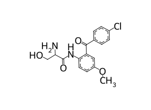 COc1ccc(NC(=O)C(N)CO)c(C(=O)c2ccc(Cl)cc2)c1